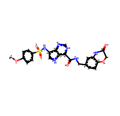 CC(C)Oc1ccc(S(=O)(=O)Nc2c[nH]c3c(C(=O)NCc4ccc5c(c4)NC(=O)CO5)ncnc23)cc1